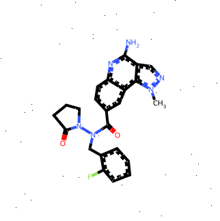 Cn1ncc2c(N)nc3ccc(C(=O)N(Cc4ccccc4F)N4CCCC4=O)cc3c21